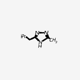 Cc1nnc(CC(C)C)[nH]1